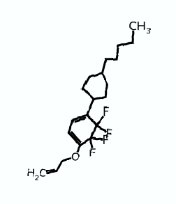 C=CCOC1=CC=C(C2CCC(CCCCC)CC2)C(F)(F)C1(F)F